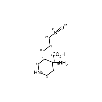 N[C@@]1(C(=O)O)CCNC[C@@H]1CCCB=O